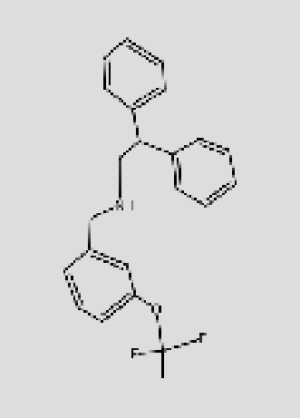 CC(F)(F)Oc1cccc(CNCC(c2ccccc2)c2ccccc2)c1